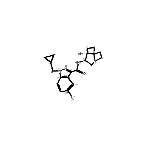 O=C(N[C@@H]1CN2CCC23CC[C@H]13)c1nn(CC2CC2)c2ccc(Br)cc12